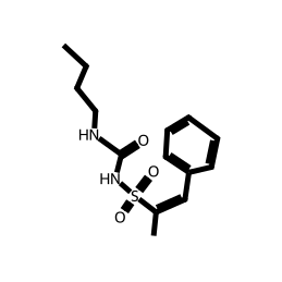 CCCCNC(=O)NS(=O)(=O)C(C)=Cc1ccccc1